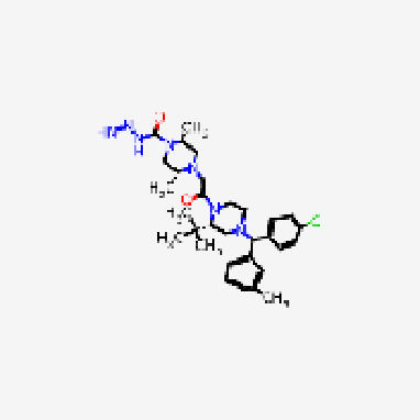 Cc1cccc(C(c2ccc(Cl)cc2)N2CCN(C(=O)CN3C[C@H](C)N(C(=O)NN=N)C[C@H]3C)[C@@H](C(C)(C)C)C2)c1